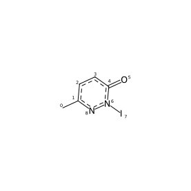 Cc1ccc(=O)n(I)n1